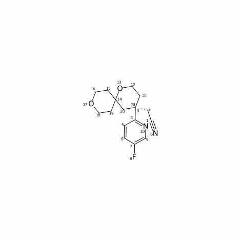 N#CC[C@@]1(c2ccc(F)cn2)CCOC2(CCOCC2)C1